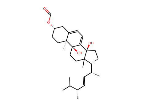 CC(C)[C@@H](C)/C=C/[C@@H](C)[C@H]1CC[C@@]2(O)C3=CC=C4C[C@@H](OC=O)CC[C@]4(C)[C@@]3(O)CCC12C